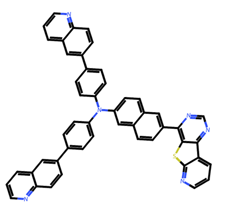 c1cnc2ccc(-c3ccc(N(c4ccc(-c5ccc6ncccc6c5)cc4)c4ccc5cc(-c6ncnc7c6sc6ncccc67)ccc5c4)cc3)cc2c1